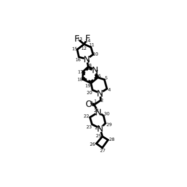 O=C(CN1CCc2nc(N3CCC(F)(F)CC3)ccc2C1)N1CCN(C2CCC2)CC1